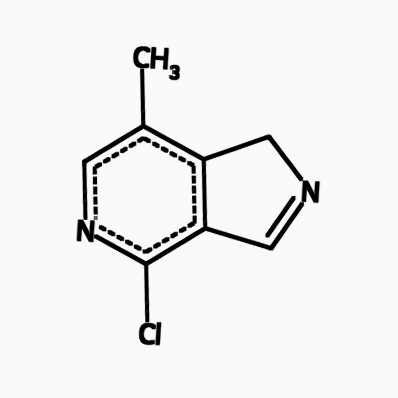 Cc1cnc(Cl)c2c1CN=C2